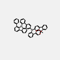 CC1(C)c2ccccc2-c2ccc(N(c3ccc(-c4ccccc4-n4c5ccccc5c5cccc(-c6ccccc6)c54)cc3)c3ccccc3-c3ccccc3)cc21